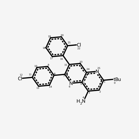 CC(C)(C)c1cc(N)c2nc(-c3ccc(Cl)cc3)c(-c3ccccc3Cl)cc2n1